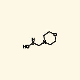 OBCN1CCOCC1